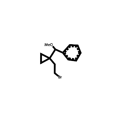 COC(c1ccccc1)C1(CCBr)CC1